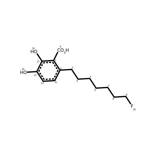 O=C(O)c1c(CCCCCCCF)ccc(O)c1O